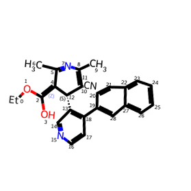 CCO/C(O)=C1\C(C)=NC(C)=C(C#N)[C@@H]1c1cnccc1-c1ccc2ccccc2c1